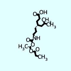 CCC(=O)O[C@H](C)OC(=O)NCCC[C@H](CCC(=O)O)CC(C)C